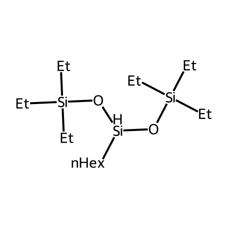 CCCCCC[SiH](O[Si](CC)(CC)CC)O[Si](CC)(CC)CC